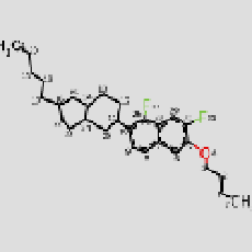 C/C=C/COc1cc2ccc(C3CCC4CC(CCCCC)CCC4C3)c(F)c2cc1F